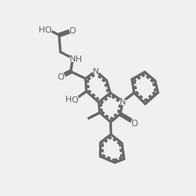 Cc1c(-c2ccccc2)c(=O)n(-c2ccccc2)c2cnc(C(=O)NCC(=O)O)c(O)c12